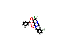 O=C1c2c(OCc3ccccc3)c(=O)c(Br)cn2CCN1Cc1cccc(Cl)c1